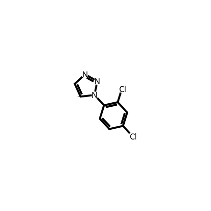 Clc1ccc(-n2[c]cnn2)c(Cl)c1